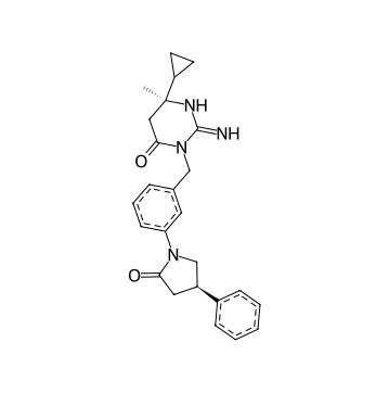 C[C@@]1(C2CC2)CC(=O)N(Cc2cccc(N3C[C@@H](c4ccccc4)CC3=O)c2)C(=N)N1